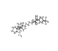 CC[C@H]1CC23C4CCC(CCCCOC(=O)Nc5ccc(C(C)(C)C)cc5)C4(C)CC[C@@H]2C32CCCCC12